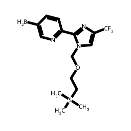 Bc1ccc(-c2nc(C(F)(F)F)cn2COCCS(C)(C)C)nc1